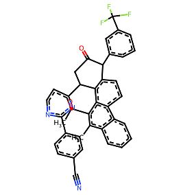 CC(=O)c1c(C)c2ccccc2c2ccc3c(c12)C(c1ccnc(-c2ccc(C#N)cc2)n1)CC(=O)C3c1cccc(C(F)(F)F)c1